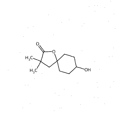 CC1(C)CC2(CCC(O)CC2)OC1=O